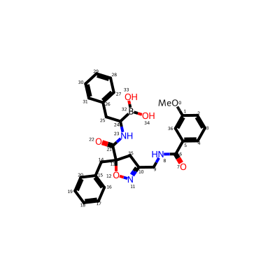 COc1cccc(C(=O)NCC2=NOC(Cc3ccccc3)(C(=O)NC(Cc3ccccc3)B(O)O)C2)c1